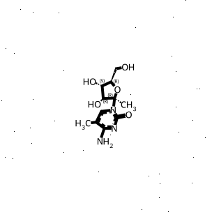 Cc1cn([C@]2(C)O[C@H](CO)[C@@H](O)[C@H]2O)c(=O)nc1N